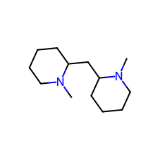 CN1CCCCC1CC1CCCCN1C